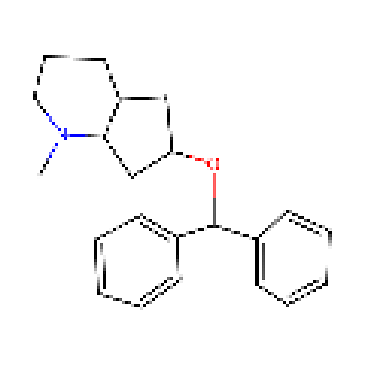 CN1CCCC2CC(OC(c3ccccc3)c3ccccc3)CC21